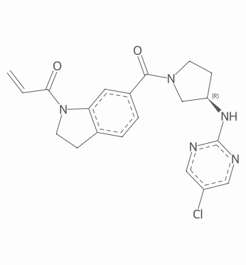 C=CC(=O)N1CCc2ccc(C(=O)N3CC[C@@H](Nc4ncc(Cl)cn4)C3)cc21